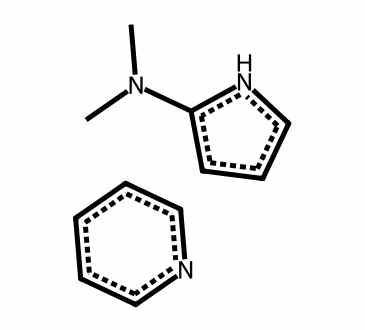 CN(C)c1ccc[nH]1.c1ccncc1